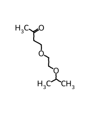 CC(=O)CCOCCOC(C)C